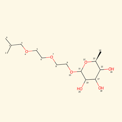 CC(C)COCCOCCOC1O[C@@H](C)C(O)C(O)C1O